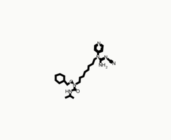 CC(C)NC(=O)N(CCCCCCCCN(C(N)=NC#N)c1ccncc1)OCC1CCCCC1